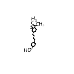 Cc1sc2cc(/C=C/C=C/c3ccc(CO)cc3)ccc2c1C